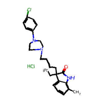 Cc1cccc2c1NC(=O)C2(CCCCN1CCN(c2ccc(Cl)cc2)CC1)CC(C)C.Cl